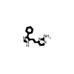 Nc1nccc(C=Cc2[nH]cnc2-c2ccccc2)n1